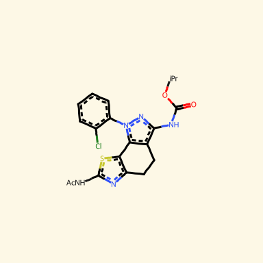 CC(=O)Nc1nc2c(s1)-c1c(c(NC(=O)OC(C)C)nn1-c1ccccc1Cl)CC2